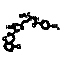 N=C(NC(=O)CC[C@H](NC(=O)c1ccc(N)cc1)C(=O)O)NC(=O)Cc1c(Cl)cccc1Cl